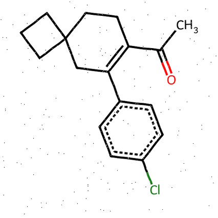 CC(=O)C1=C(c2ccc(Cl)cc2)CC2(CCC2)CC1